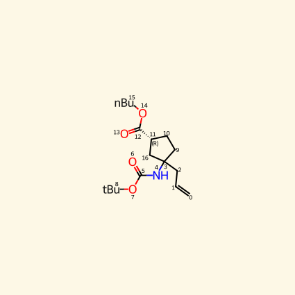 C=CCC1(NC(=O)OC(C)(C)C)CC[C@@H](C(=O)OCCCC)C1